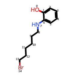 Oc1ccccc1NCCCCCCBr